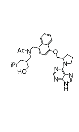 CC(=O)N(Cc1ccc(OC[C@H]2CCCN2c2ncnc3[nH]cnc23)c2ccccc12)CC(CO)CC(C)C